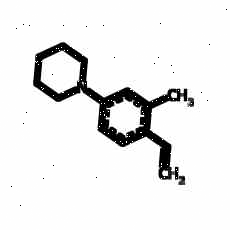 C=Cc1ccc(N2CCCCC2)cc1C